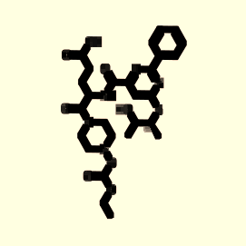 CCOC(=O)ON1CCN(C(=O)C(CCC(=O)O)NC(=O)c2cc(S[C@@H](C)C(C)O)nc(-c3ccccc3)n2)CC1